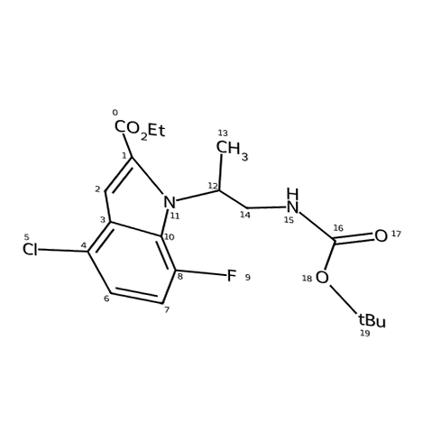 CCOC(=O)c1cc2c(Cl)ccc(F)c2n1C(C)CNC(=O)OC(C)(C)C